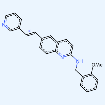 COc1ccccc1CNc1ccc2cc(/C=C/c3cccnc3)ccc2n1